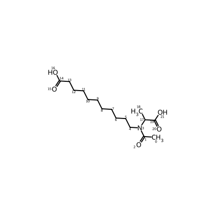 CC(=O)N(CCCCCCCCCCC(=O)O)C(C)C(=O)O